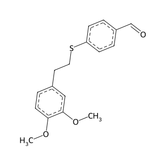 COc1ccc(CCSc2ccc(C=O)cc2)cc1OC